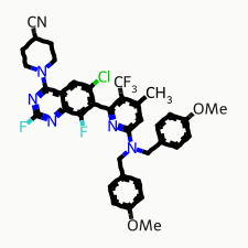 COc1ccc(CN(Cc2ccc(OC)cc2)c2cc(C)c(C(F)(F)F)c(-c3c(Cl)cc4c(N5CCC(C#N)CC5)nc(F)nc4c3F)n2)cc1